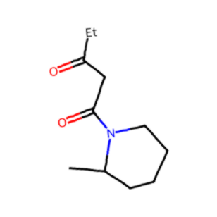 CCC(=O)CC(=O)N1CCCCC1C